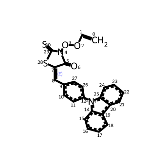 C=COON1C(=O)/C(=C\c2ccc(-n3c4ccccc4c4ccccc43)cc2)SC1=S